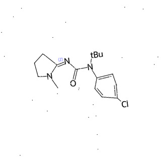 CN1CCC/C1=N/C(=O)N(c1ccc(Cl)cc1)C(C)(C)C